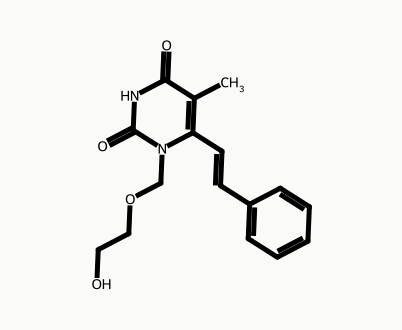 Cc1c(C=Cc2ccccc2)n(COCCO)c(=O)[nH]c1=O